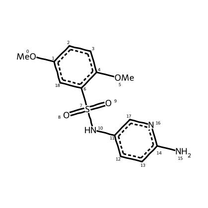 COc1ccc(OC)c(S(=O)(=O)Nc2ccc(N)nc2)c1